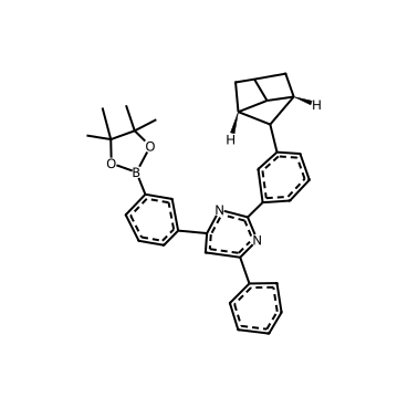 CC1(C)OB(c2cccc(-c3cc(-c4ccccc4)nc(-c4cccc(C5[C@H]6CC7C[C@@H]5C76)c4)n3)c2)OC1(C)C